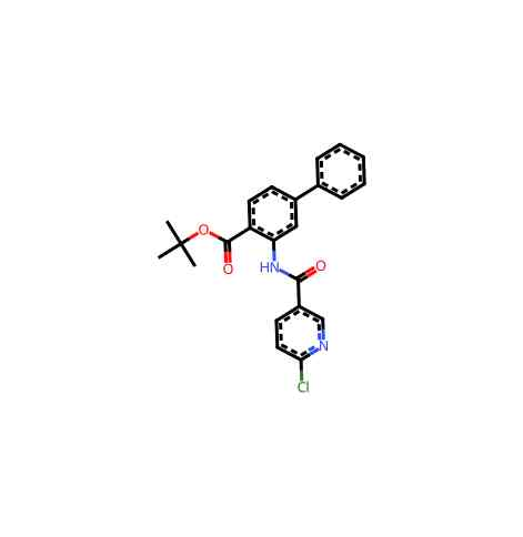 CC(C)(C)OC(=O)c1ccc(-c2ccccc2)cc1NC(=O)c1ccc(Cl)nc1